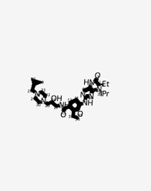 CC[C@@H]1C(=O)Nc2cnc(Nc3ccc(C(=O)NC[C@H](O)CN4CCN(CC5CC5)CC4)c4c3OCC4)nc2N1C(C)C